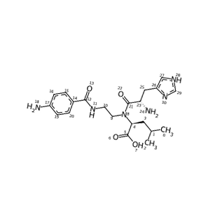 CC(C)C[C@@H](C(=O)O)N(CCNC(=O)c1ccc(N)cc1)C(=O)[C@@H](N)Cc1c[nH]cn1